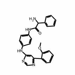 COc1ccccc1-c1cc(Nc2ccc(NC(=O)C(N)c3ccccc3)cc2)ncn1